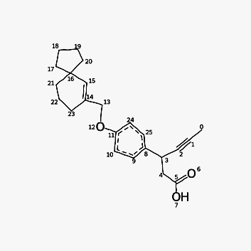 CC#CC(CC(=O)O)c1ccc(OCC2=CC3(CCCC3)CCC2)cc1